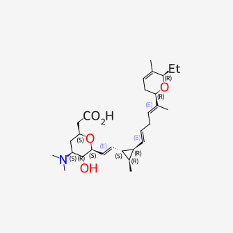 CC[C@H]1O[C@@H](/C(C)=C/C/C=C/[C@H]2[C@@H](C)[C@@H]2/C=C/[C@@H]2O[C@H](CC(=O)O)C[C@H](N(C)C)[C@H]2O)CC=C1C